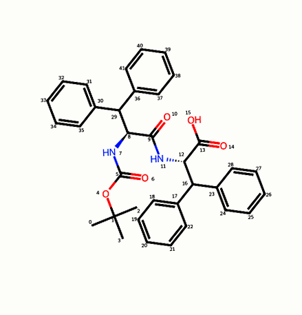 CC(C)(C)OC(=O)N[C@H](C(=O)N[C@H](C(=O)O)C(c1ccccc1)c1ccccc1)C(c1ccccc1)c1ccccc1